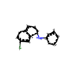 Brc1ccc2cccc(Nc3ccccc3)c2c1